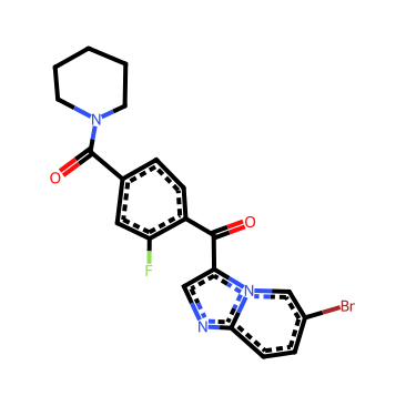 O=C(c1ccc(C(=O)N2CCCCC2)cc1F)c1cnc2ccc(Br)cn12